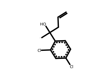 [CH2]C(O)(CC=C)c1ccc(Cl)cc1Cl